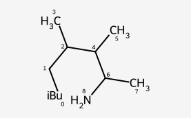 CCC(C)CC(C)C(C)C(C)N